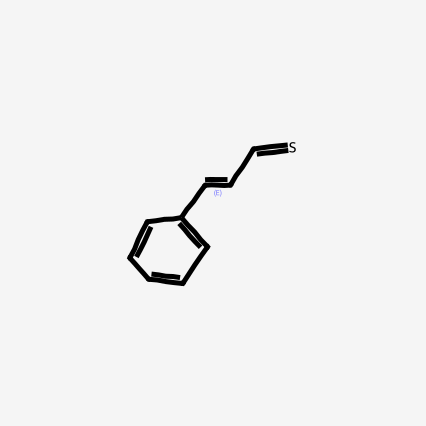 S=C/C=C/c1ccccc1